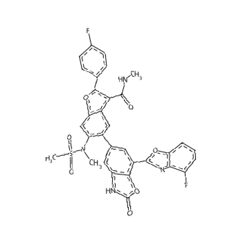 CNC(=O)c1c(-c2ccc(F)cc2)oc2cc(N(C)S(C)(=O)=O)c(-c3cc(-c4nc5c(F)cccc5o4)c4oc(=O)[nH]c4c3)cc12